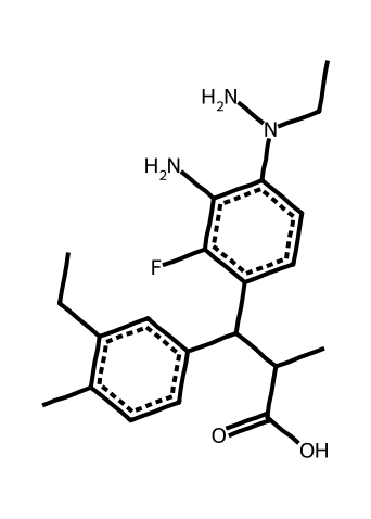 CCc1cc(C(c2ccc(N(N)CC)c(N)c2F)C(C)C(=O)O)ccc1C